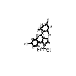 CCC(CC)n1ccc2c(-c3c(C)cc(C)cc3C)nc3cc(I)ccc3c21